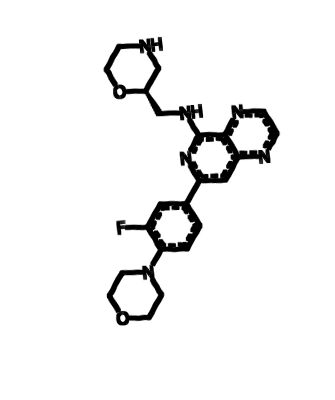 Fc1cc(-c2cc3nccnc3c(NC[C@@H]3CNCCO3)n2)ccc1N1CCOCC1